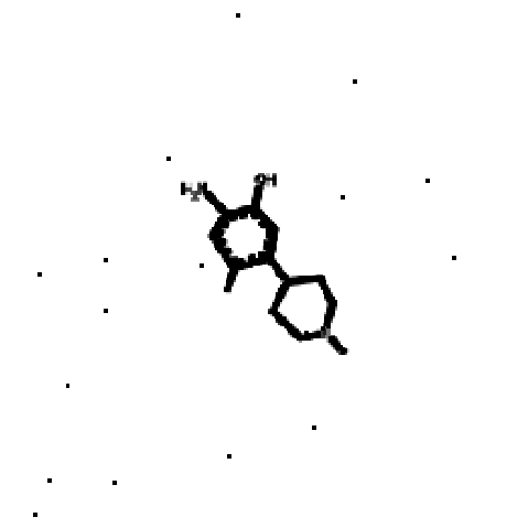 Cc1cc(N)c(O)cc1C1CCN(C)CC1